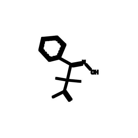 C=C(C)C(C)(C)C(=NO)c1ccccc1